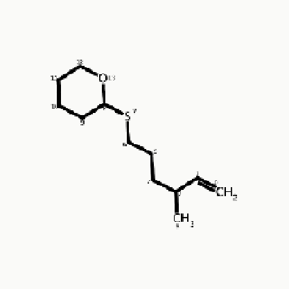 C=CC(C)CCCSC1CCCCO1